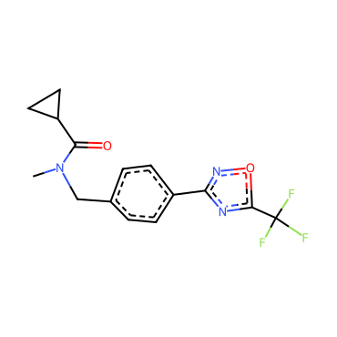 CN(Cc1ccc(-c2noc(C(F)(F)F)n2)cc1)C(=O)C1CC1